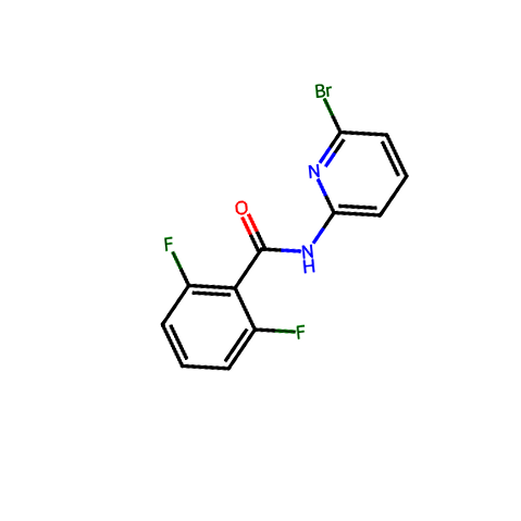 O=C(Nc1cccc(Br)n1)c1c(F)cccc1F